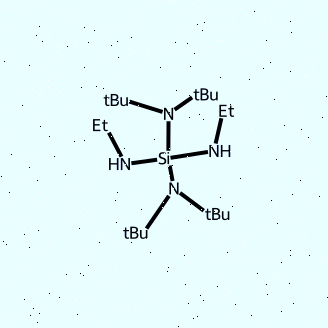 CCN[Si](NCC)(N(C(C)(C)C)C(C)(C)C)N(C(C)(C)C)C(C)(C)C